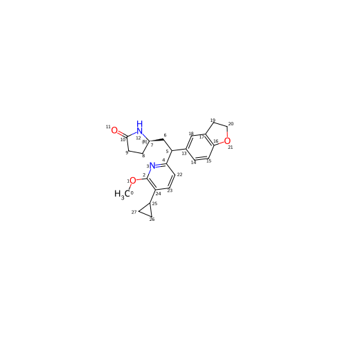 COc1nc(C(C[C@H]2CCC(=O)N2)c2ccc3c(c2)CCO3)ccc1C1CC1